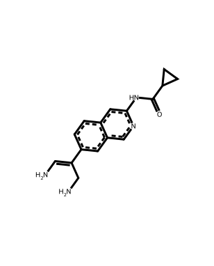 N/C=C(\CN)c1ccc2cc(NC(=O)C3CC3)ncc2c1